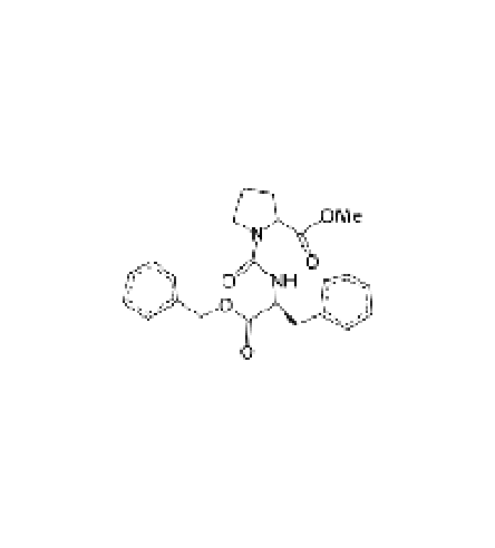 COC(=O)C1CCCN1C(=O)N[C@@H](Cc1ccccc1)C(=O)OCc1ccccc1